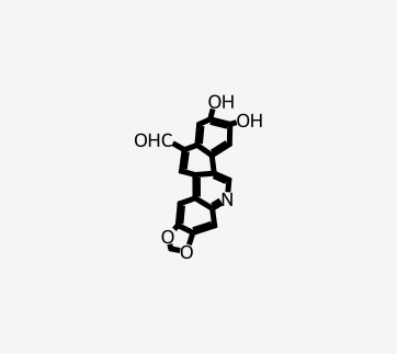 O=Cc1cc2c3cc4c(cc3ncc2c2cc(O)c(O)cc12)OCO4